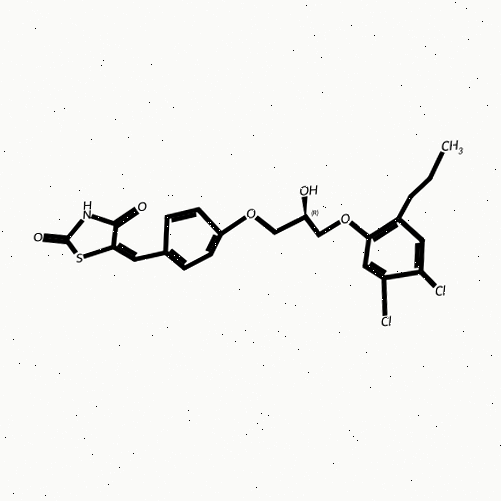 CCCc1cc(Cl)c(Cl)cc1OC[C@H](O)COc1ccc(C=C2SC(=O)NC2=O)cc1